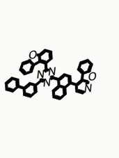 c1ccc(-c2cccc(-c3nc(-c4ccc(-c5ccnc6oc7ccccc7c56)c5ccccc45)nc(-c4cccc5oc6ccccc6c45)n3)c2)cc1